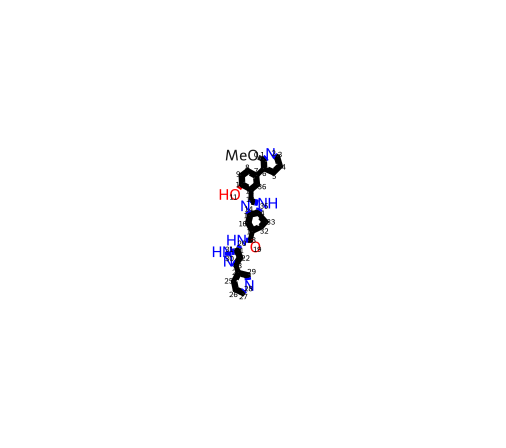 COc1ncccc1-c1ccc(O)c(-c2nc3cc(C(=O)Nc4cc(-c5cccnc5)n[nH]4)ccc3[nH]2)c1